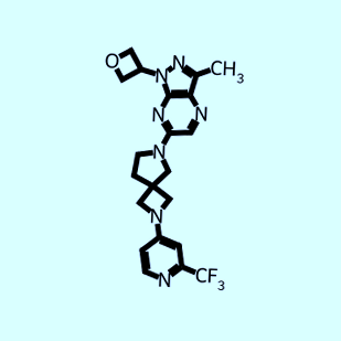 Cc1nn(C2COC2)c2nc(N3CCC4(CN(c5ccnc(C(F)(F)F)c5)C4)C3)cnc12